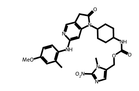 COc1ccc(Nc2cc3c(cn2)CC(=O)N3C2CCC(NC(=O)OCc3cnc([N+](=O)[O-])n3C)CC2)c(C)c1